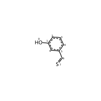 Oc1cccc(C=S)c1